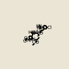 CCOC(=O)[C@@H]1CCCC[C@H](NC(=O)/C=C/c2cc(Cl)ccc2-n2cnnn2)c2nc(c(C)[nH]2)-c2ccc(NC(=O)OC)cc2N1